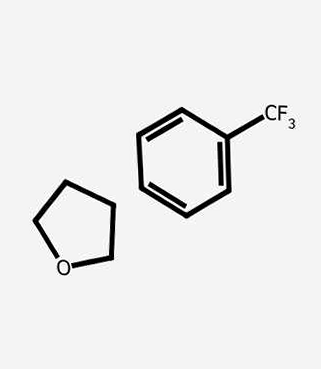 C1CCOC1.FC(F)(F)c1ccccc1